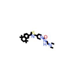 CCN(CC)CCNC(=O)N1CCC(c2nc(-c3ccc4c(c3)C(C)(C)CCC4(C)C)cs2)CC1